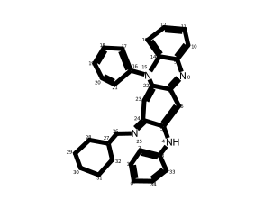 c1ccc(Nc2cc3nc4ccccc4n(-c4ccccc4)c-3cc2=NCC2CCCCC2)cc1